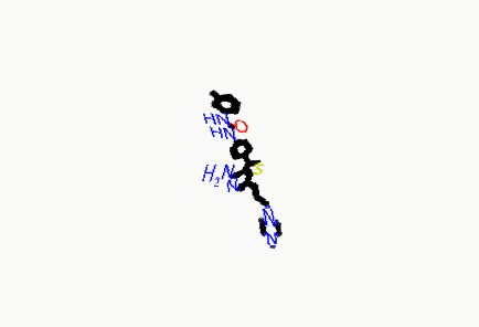 Cc1cccc(NC(=O)Nc2ccc(-c3csc4c(C=CCN5CCN(C)CC5)cnc(N)c34)cc2)c1